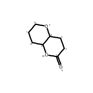 O=C1CCC2OCCCC2O1